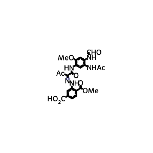 COC(=O)c1ccc(C(=O)O)cc1N/N=C(/C(C)=O)C(=O)Nc1cc(NC(C)=O)c(NC=O)cc1OC